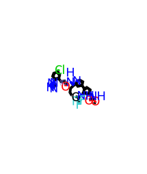 COC(=O)Nc1ccc2c(c1)NC(C(F)(F)F)CCCCC(NC(=O)/C=C/c1cc(Cl)ccc1-n1cnnn1)c1cc-2ccn1